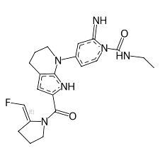 CCNC(=O)n1ccc(N2CCCc3cc(C(=O)N4CCC/C4=C\F)[nH]c32)cc1=N